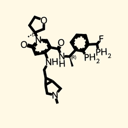 C[C@@H](NC(=O)c1cn([C@@]2(C)CCOC2)c(=O)cc1NCC1C2CN(C)CC12)c1cccc(C(F)P)c1P